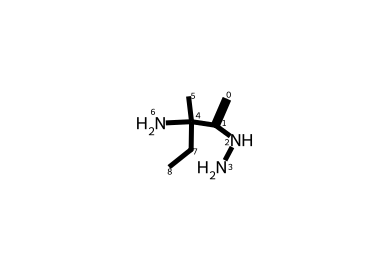 C=C(NN)C(C)(N)CC